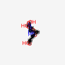 O=C(O)CN(CCN(Cc1cccc(C(=O)Nc2sc3c(c2C(=O)Nc2ccc(CCc4ccc(C(=O)O)cc4)cc2)CCCC3)c1)C1CC1)CC(=O)O